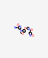 COc1ncc(N2CCOc3ccc(O[C@H]4CCN(C(=O)c5ccn(C)c(=O)c5)C4)cc32)cc1C#N